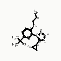 CC(C)(C)c1ccc(OCCO)c(-n2nnnc2C2CC2)c1